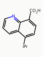 CC(C)c1ccc(C(=O)O)c2ncccc12